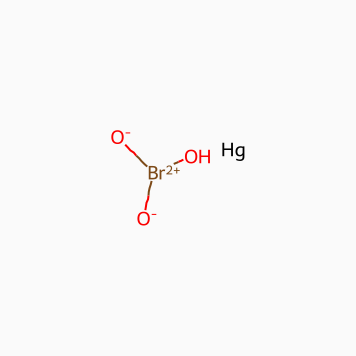 [Hg].[O-][Br+2]([O-])O